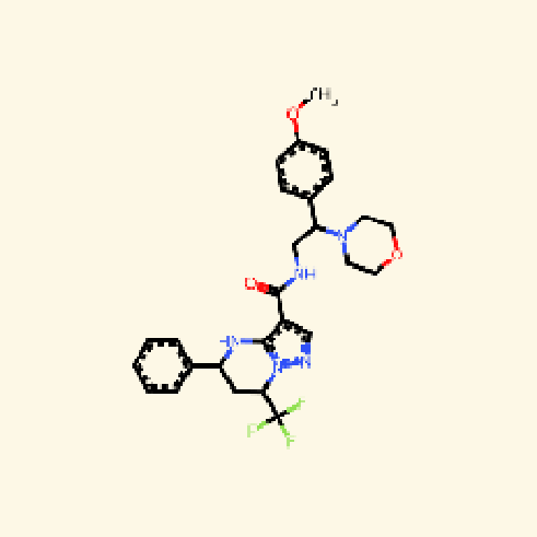 COc1ccc(C(CNC(=O)c2cnn3c2NC(c2ccccc2)CC3C(F)(F)F)N2CCOCC2)cc1